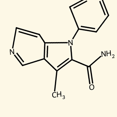 Cc1c(C(N)=O)n(-c2ccccc2)c2ccncc12